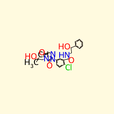 CC(C)(O)Cn1c(=O)cnn(-c2ccc(Cl)c(C(=O)NC[C@H](O)c3ccccc3)c2)c1=O